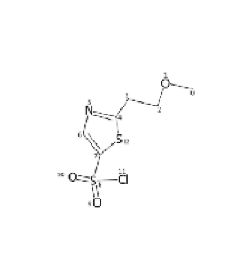 COCCc1ncc(S(=O)(=O)Cl)s1